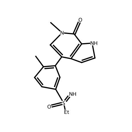 CCS(=N)(=O)c1ccc(C)c(-c2cn(C)c(=O)c3[nH]ccc23)c1